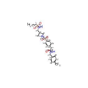 C=CS(=O)(=O)NCC1CN(S(=O)(=O)c2ccc(CC(=O)NCc3ccc(C(F)(F)F)cc3)cc2)C1